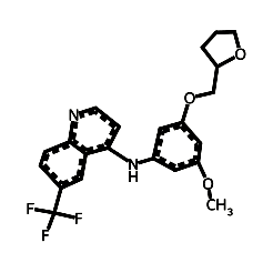 COc1cc(Nc2ccnc3ccc(C(F)(F)F)cc23)cc(OCC2CCCO2)c1